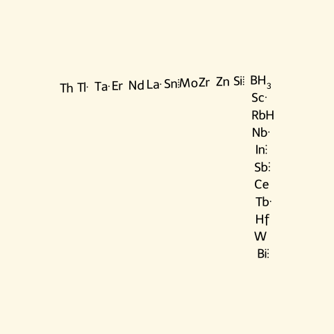 B.[Bi].[Ce].[Er].[Hf].[In].[La].[Mo].[Nb].[Nd].[RbH].[Sb].[Sc].[Si].[Sn].[Ta].[Tb].[Th].[Tl].[W].[Zn].[Zr]